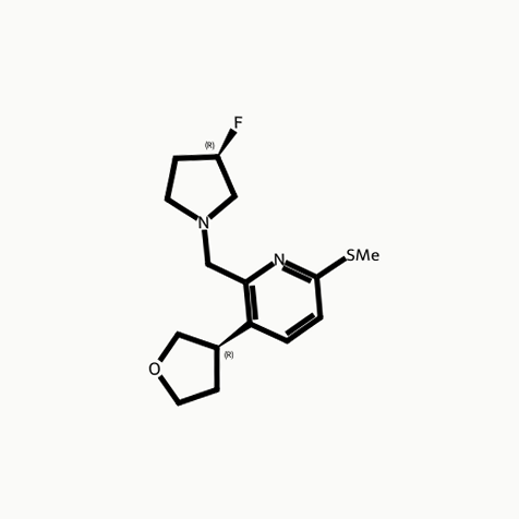 CSc1ccc([C@H]2CCOC2)c(CN2CC[C@@H](F)C2)n1